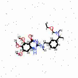 CCOCN(C)C(C)c1cccc(CN(C)c2nc(=O)c3c(OC)c(OC)c(OC)cc3[nH]2)c1